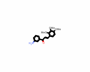 COc1ccc(C=CC(=O)c2cccc(N)c2)c(OC)c1OC